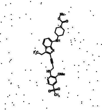 COc1cc(S(C)(=O)=O)ccc1NCC#Cc1nc2c(NC3CCN(C(=O)OC(C)(C)C)CC3)cccn2c1CC(F)(F)F